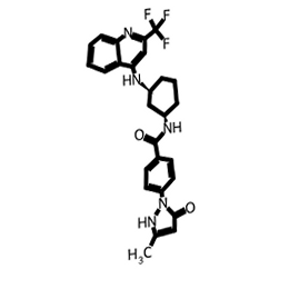 Cc1cc(=O)n(-c2ccc(C(=O)N[C@@H]3CCC[C@H](Nc4cc(C(F)(F)F)nc5ccccc45)C3)cc2)[nH]1